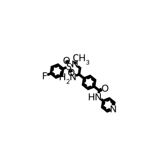 CN(CC(N)c1ccc(C(=O)Nc2ccncc2)cc1)S(=O)(=O)c1ccc(F)cc1